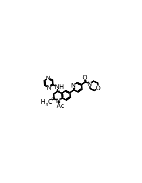 CC(=O)N1c2ccc(-c3ccc(C(=O)N4CCOCC4)cn3)cc2[C@H](Nc2cnccn2)C[C@@H]1C